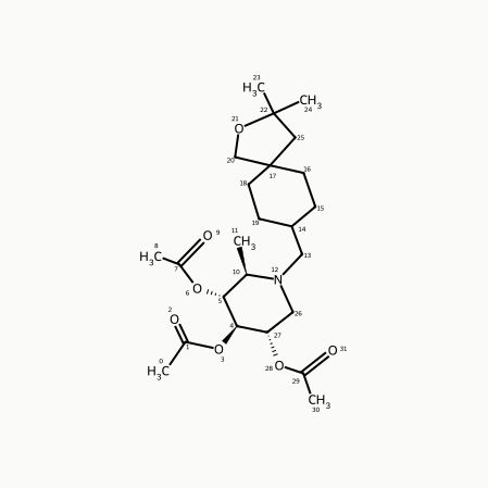 CC(=O)O[C@H]1[C@H](OC(C)=O)[C@@H](C)N(CC2CCC3(CC2)COC(C)(C)C3)C[C@@H]1OC(C)=O